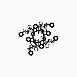 C[C@H](c1ccccc1)N1C[C@H]1C(=O)Nc1cccc(NC(=O)[C@H]2CN2[C@@H](C)c2ccccc2)c1-c1c2nc(c(-c3ccccc3)c3ccc([nH]3)c(-c3c(NC(=O)[C@H]4CN4[C@@H](C)c4ccccc4)cccc3NC(=O)[C@@H]3CN3[C@H](C)c3ccccc3)c3nc(c(-c4ccccc4)c4ccc1[nH]4)CC3)C=C2